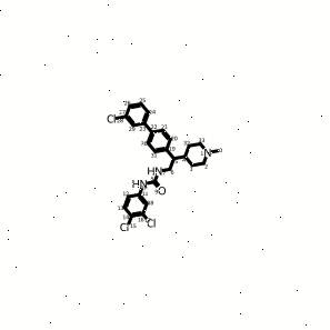 CN1CCC(C(CNC(=O)Nc2ccc(Cl)c(Cl)c2)c2ccc(-c3cccc(Cl)c3)cc2)CC1